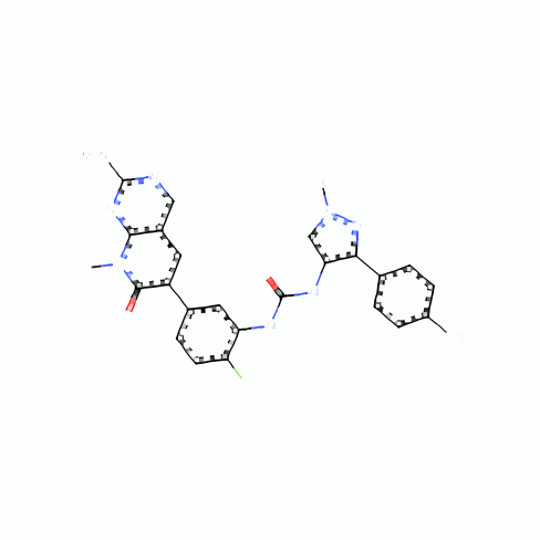 CNc1ncc2cc(-c3ccc(F)c(NC(=O)Nc4cn(C(C)C)nc4-c4ccc(C#N)cc4)c3)c(=O)n(C(C)C)c2n1